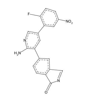 Nc1ncc(-c2cc([N+](=O)[O-])ccc2F)cc1-c1ccc2c(c1)C=NC2=O